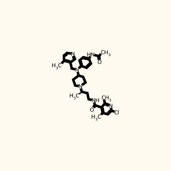 CC(=O)Nc1ccc(N(Cc2cnccc2C)C2CCN([C@H](C)CCNC(=O)c3c(C)cc(Cl)nc3C)CC2)cc1